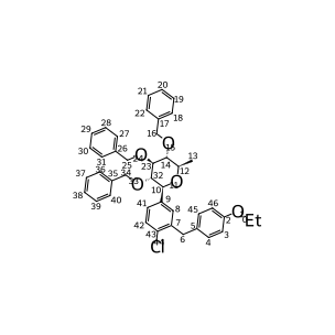 CCOc1ccc(Cc2cc([C@@H]3O[C@H](C)[C@@H](OCc4ccccc4)[C@H](OCc4ccccc4)[C@H]3OCc3ccccc3)ccc2Cl)cc1